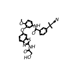 COc1ccc(NC(=O)c2cccc(C(C)(C)C#N)c2)cc1Oc1ccc2nc(NC(=O)CO)sc2c1